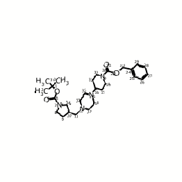 CC(C)(C)OC(=O)N1CCC(CN2CCN(C3CCN(C(=O)OCc4ccccc4)CC3)CC2)C1